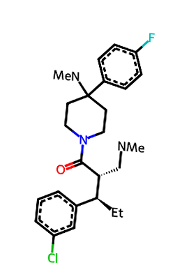 CC[C@@H](c1cccc(Cl)c1)[C@@H](CNC)C(=O)N1CCC(NC)(c2ccc(F)cc2)CC1